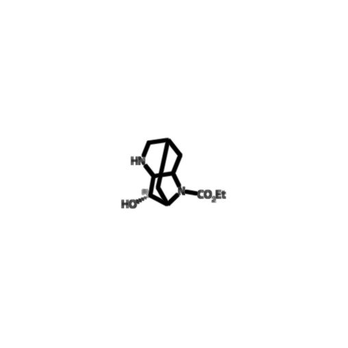 CCOC(=O)N1C2CC3CNC2[C@@H](O)C1C3